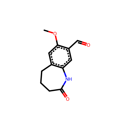 COc1cc2c(cc1C=O)NC(=O)CCC2